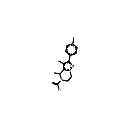 CC1c2c(I)c(-c3ccc(F)cc3)nn2CCN1C(=O)O